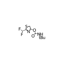 CC(C)(C)NC(=O)Oc1csc(C(F)F)n1